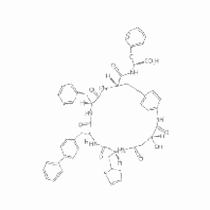 O=C1C[C@@H](O)C(=O)Nc2ccc(cc2)C[C@@H](C(=O)N[C@@H](Cc2ccccc2)C(=O)O)NC(=O)[C@@H](Cc2ccccc2)NC(=O)[C@H](Cc2ccc(-c3ccccc3)cc2)NC(=O)[C@@H](CC2CC=CS2)N1